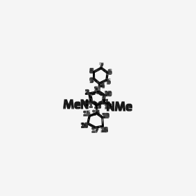 CNc1cc(C2CCCCC2)cc(NC)c1C1CCCCC1